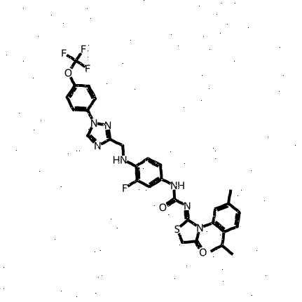 Cc1ccc(C(C)C)c(N2C(=O)CSC2=NC(=O)Nc2ccc(NCc3ncn(-c4ccc(OC(F)(F)F)cc4)n3)c(F)c2)c1